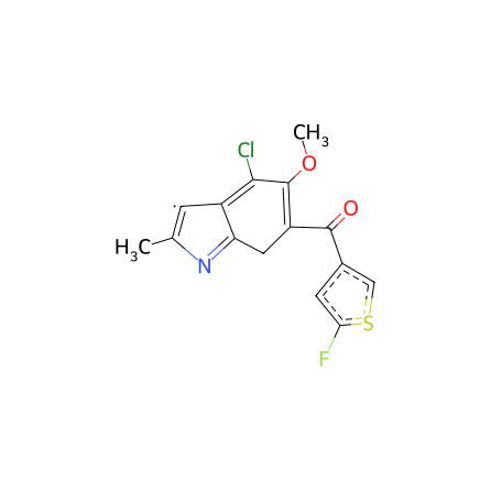 COC1=C(C(=O)c2csc(F)c2)CC2=NC(C)=[C]C2=C1Cl